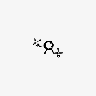 Cc1c(C[PH](C)(C)C)cccc1C[PH](C)(C)C